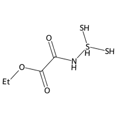 CCOC(=O)C(=O)N[SH](S)S